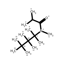 CC(C)C(=O)N(C)C(C)(C)C(C)(C)C(C)(C)C